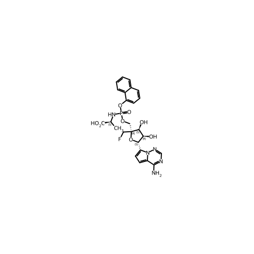 C[C@H](NP(=O)(OC[C@@]1(CF)O[C@@H](c2ccc3c(N)ncnn23)[C@H](O)[C@@H]1O)Oc1cccc2ccccc12)C(=O)O